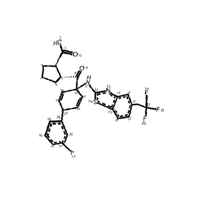 O=C(O)[C@@H]1CCC[C@H]1C(=O)C1(Nc2nc3cc(C(F)(F)F)ccc3s2)C=CC(c2cccc(F)c2)C=C1